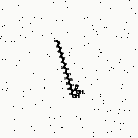 CCCCCCCCCCCCCCCCCCCC(CO)C(=O)O